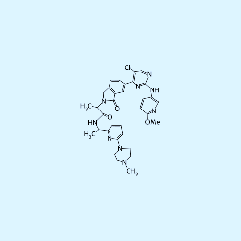 COc1ccc(Nc2ncc(Cl)c(-c3ccc4c(c3)C(=O)N(C(C)C(=O)NC(C)c3cccc(N5CCN(C)CC5)n3)C4)n2)cn1